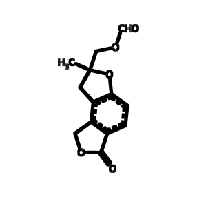 CC1(COC=O)Cc2c(ccc3c2COC3=O)O1